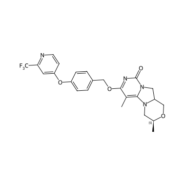 Cc1c(OCc2ccc(Oc3ccnc(C(F)(F)F)c3)cc2)nc(=O)n2c1N1C[C@H](C)OCC1C2